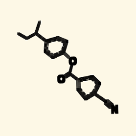 CCC(C)c1ccc(OC(=O)c2ccc(C#N)cc2)cc1